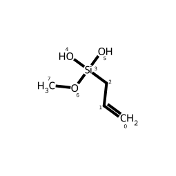 C=CC[Si](O)(O)OC